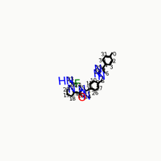 Cc1ccc(-c2cn(Cc3ccc(-c4noc(C5CCCN5C(=N)F)n4)cc3)nn2)cc1